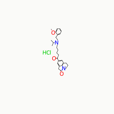 COc1ccccc1CCN(CCCCCC(=O)c1cc2c3c(c1)CC(=O)N3CCC2)C(C)C.Cl